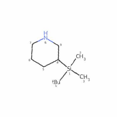 CC(C)(C)[Si](C)(C)C1CCCNC1